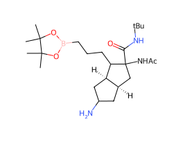 CC(=O)NC1(C(=O)NC(C)(C)C)C[C@H]2CC(N)C[C@H]2C1CCCB1OC(C)(C)C(C)(C)O1